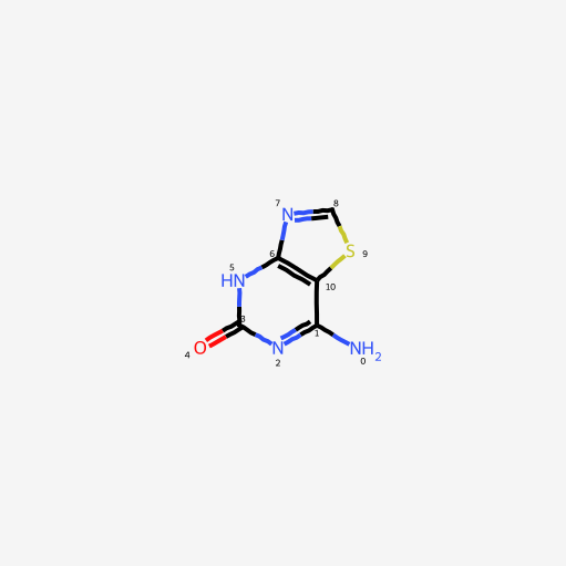 Nc1nc(=O)[nH]c2ncsc12